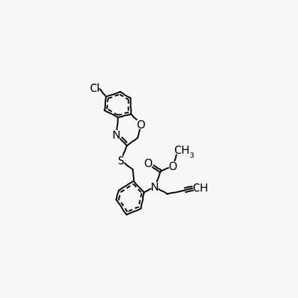 C#CCN(C(=O)OC)c1ccccc1CSC1=Nc2cc(Cl)ccc2OC1